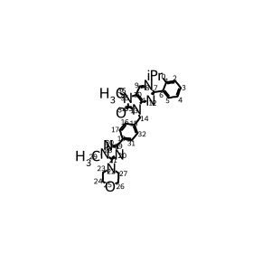 CC(C)c1ccccc1-c1ncc2c(n1)n(Cc1ccc(-c3nc(N4CCOCC4)n(C)n3)cc1)c(=O)n2C